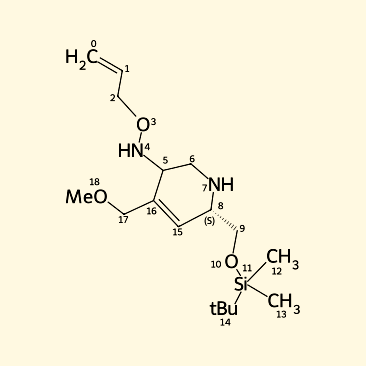 C=CCONC1CN[C@H](CO[Si](C)(C)C(C)(C)C)C=C1COC